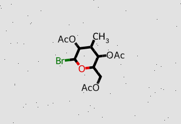 CC(=O)OCC1OC(Br)C(OC(C)=O)C(C)C1OC(C)=O